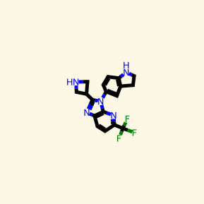 FC(F)(F)c1ccc2nc(C3CNC3)n(-c3ccc4c(c3)CCN4)c2n1